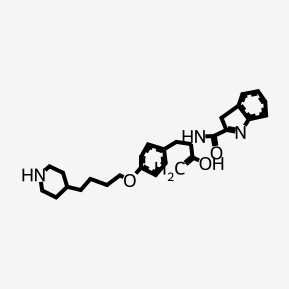 C=C(O)C(Cc1ccc(OCCCCC2CCNCC2)cc1)NC(=O)C1=Nc2ccccc2C1